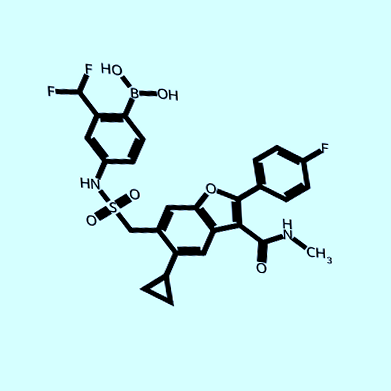 CNC(=O)c1c(-c2ccc(F)cc2)oc2cc(CS(=O)(=O)Nc3ccc(B(O)O)c(C(F)F)c3)c(C3CC3)cc12